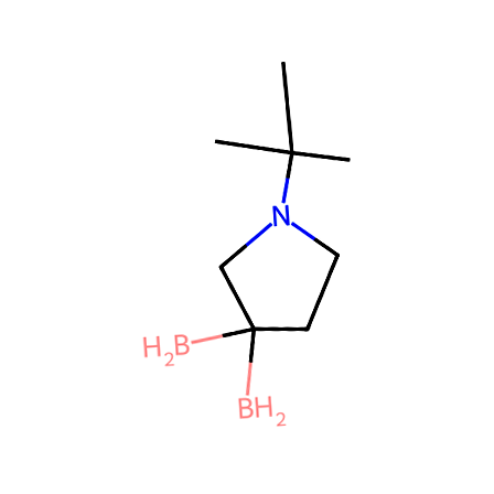 BC1(B)CCN(C(C)(C)C)C1